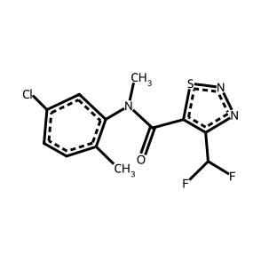 Cc1ccc(Cl)cc1N(C)C(=O)c1snnc1C(F)F